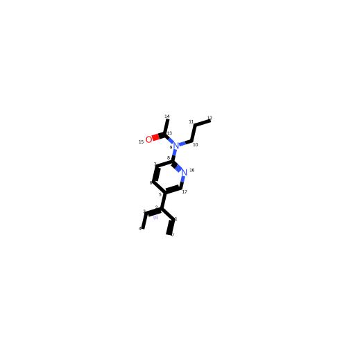 C=C/C(=C\C)c1ccc(N(CCC)C(C)=O)nc1